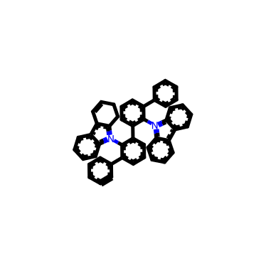 c1cccc(-c2cccc(-c3cccc(-c4ccccc4)c3-n3c4ccccc4c4ccccc43)c2-n2c3c(c4ccccc42)C=CCC3)c#1